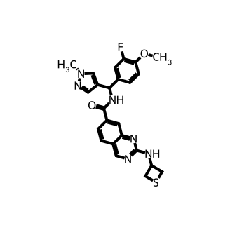 COc1ccc(C(NC(=O)c2ccc3cnc(NC4CSC4)nc3c2)c2cnn(C)c2)cc1F